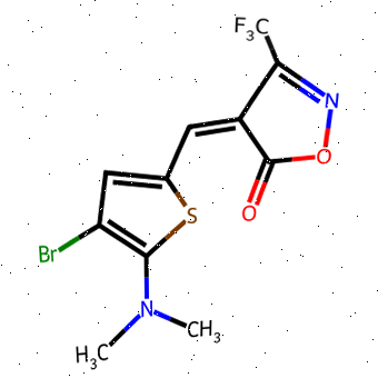 CN(C)c1sc(/C=C2\C(=O)ON=C2C(F)(F)F)cc1Br